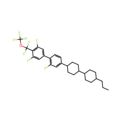 CCCC1CCC(C2CCC(c3ccc(-c4cc(F)c(C(F)(F)OC(F)(F)F)c(F)c4)c(F)c3)CC2)CC1